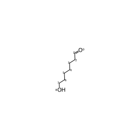 O=[C]CCCCCCO